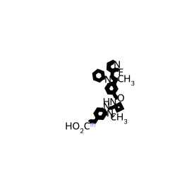 Cc1c(-c2cccnc2F)n(C2CCCCC2)c2ccc(C(=O)NC3(c4nc5ccc(/C=C/C(=O)O)cc5n4C)CCC3)cc12